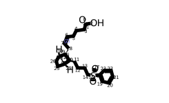 O=C(O)CCC/C=C\C[C@@H]1[C@@H](CCCCS(=O)(=O)c2ccccc2)[C@@H]2CC[C@H]1O2